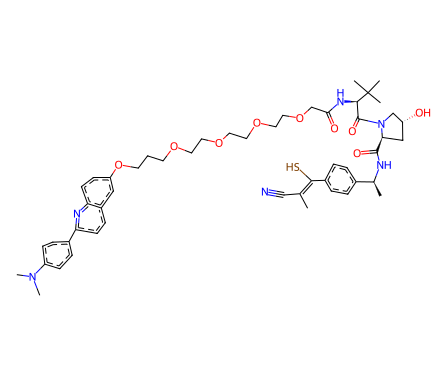 C/C(C#N)=C(/S)c1ccc([C@H](C)NC(=O)[C@@H]2C[C@@H](O)CN2C(=O)[C@@H](NC(=O)COCCOCCOCCOCCCOc2ccc3nc(-c4ccc(N(C)C)cc4)ccc3c2)C(C)(C)C)cc1